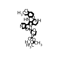 CCc1c(Cl)cccc1Nc1c(-c2ccncc2OC[C@H]2CN(C(=O)OC(C)(C)C)CCO2)[nH]c2c1C(=O)NCC2